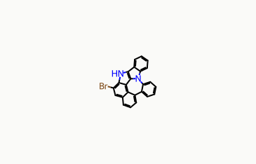 Brc1cc2cccc3c4ccccc4n4c5ccccc5c5[nH]c1c(c23)c54